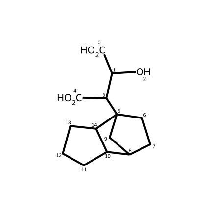 O=C(O)C(O)C(C(=O)O)C12CCC(C1)C1CCCC12